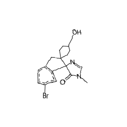 CN1C=NC2(C1=O)c1cc(Br)ccc1CC21CCC(O)CC1